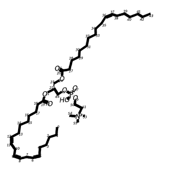 CCCCC/C=C\C/C=C\C/C=C\CCCCCCC(=O)O[C@H](COC(=O)CCCCCCCCC/C=C\CCCCCC)COP(=O)(O)OCC[N+](C)(C)C